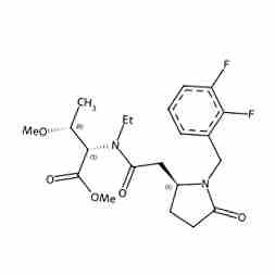 CCN(C(=O)C[C@@H]1CCC(=O)N1Cc1cccc(F)c1F)[C@H](C(=O)OC)[C@@H](C)OC